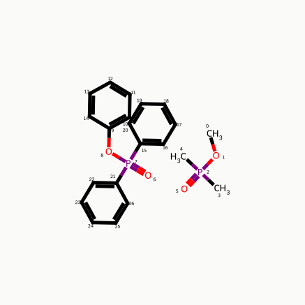 COP(C)(C)=O.O=P(Oc1ccccc1)(c1ccccc1)c1ccccc1